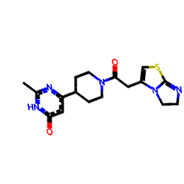 Cc1nc(C2CCN(C(=O)CC3=CSC4=NCCN34)CC2)cc(=O)[nH]1